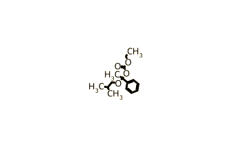 CCOC(=O)OC(C)(OCC(C)C)c1ccccc1